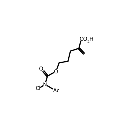 C=C(CCCOC(=O)N(Cl)C(C)=O)C(=O)O